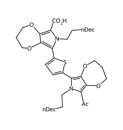 CCCCCCCCCCCCn1c(C(C)=O)c2c(c1-c1ccc(-c3c4c(c(C(=O)O)n3CCCCCCCCCCCC)OCCCO4)s1)OCCCO2